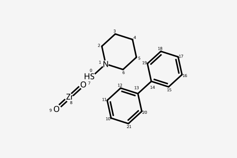 SN1CCCCC1.[O]=[Zr]=[O].c1ccc(-c2ccccc2)cc1